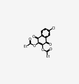 CCC(=O)OC1=C(OC(=O)CC)C(=O)c2cc(Cl)ccc2C1=O